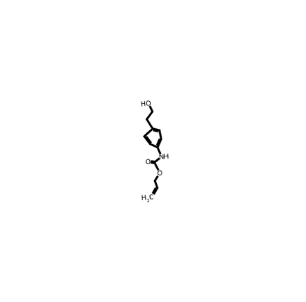 C=CCOC(=O)Nc1ccc(CCO)cc1